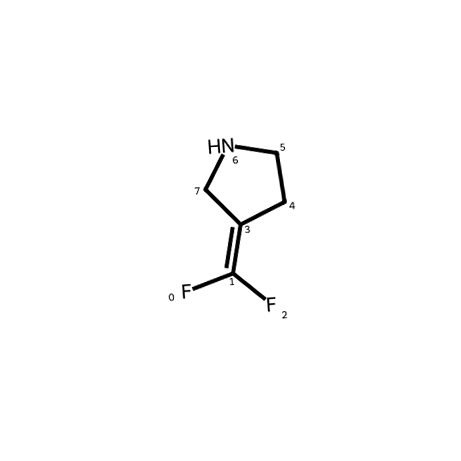 FC(F)=C1CCNC1